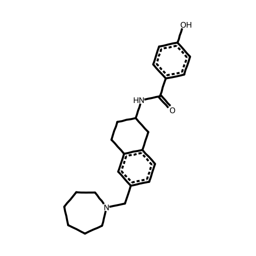 O=C(NC1CCc2cc(CN3CCCCCC3)ccc2C1)c1ccc(O)cc1